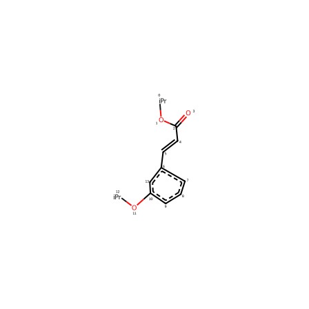 CC(C)OC(=O)C=Cc1cccc(OC(C)C)c1